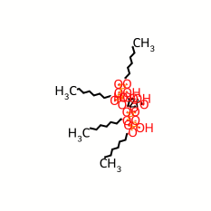 CCCCCCCCOP(=O)(O)OP(=O)(OCCCCCCCC)OC([O][Zr](=[O])[OH])(OP(=O)(OCCCCCCCC)OP(=O)(O)OCCCCCCCC)C(=O)O